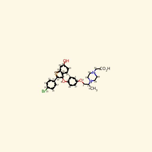 C[C@@H](COc1ccc(Oc2c(-c3ccc(Br)cc3)sc3cc(O)ccc23)cc1)N1CCN(CC(=O)O)CC1